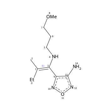 CC/C(C)=C(/NCCCOC)c1nonc1N